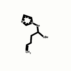 C=CCC[CH](CCCC)[Re][n]1ccnc1